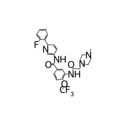 CN1CCN(CC(=O)Nc2cc(C(=O)Nc3ccc(-c4ccccc4F)nc3)ccc2OC(F)(F)F)CC1